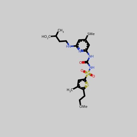 COCCc1sc(S(=O)(=O)NC(=O)Nc2cc(SC)cc(NCCC(C)C(=O)O)n2)cc1C